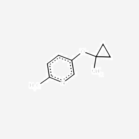 Cc1ccc(OC2(C)CC2)cn1